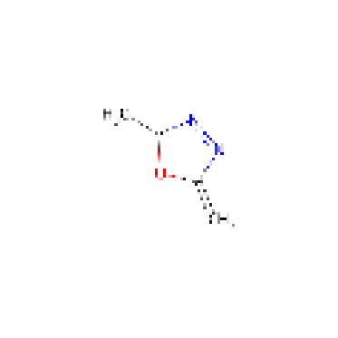 C=C1N=NC(C)O1